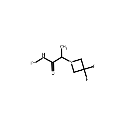 CC(C)NC(=O)C(C)N1CC(F)(F)C1